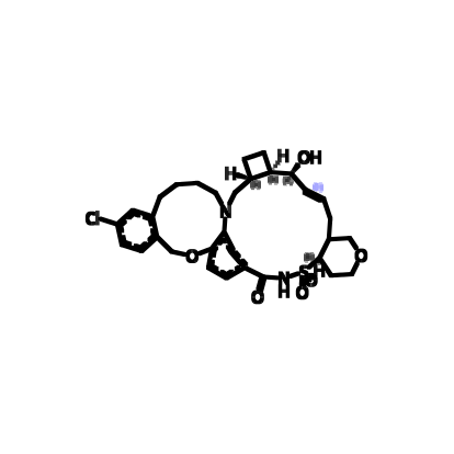 O=C1NS(=O)(=O)[C@@H]2CCOCC2C/C=C/[C@H](O)[C@@H]2CC[C@H]2CN2CCCCc3cc(Cl)ccc3COc3ccc1cc32